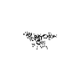 CC(N)Nc1nc(NCCS(=O)(=O)O)nc(Nc2ccc(S(=O)(=O)O)cc2)n1